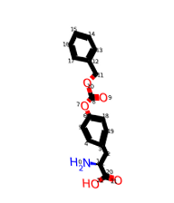 N[C@@H](Cc1ccc(OC(=O)OCc2ccccc2)cc1)C(=O)O